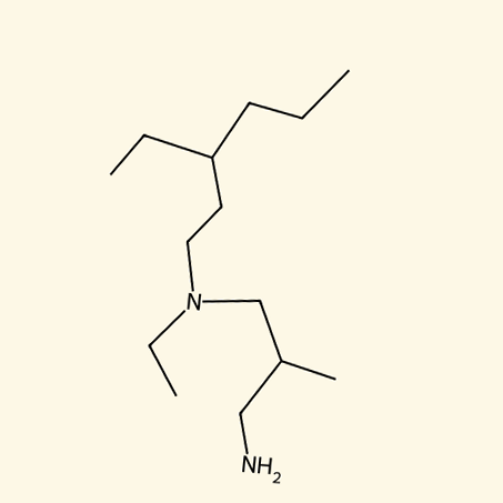 CCCC(CC)CCN(CC)CC(C)CN